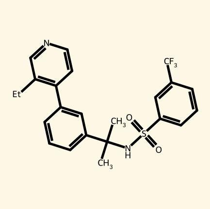 CCc1cnccc1-c1cccc(C(C)(C)NS(=O)(=O)c2cccc(C(F)(F)F)c2)c1